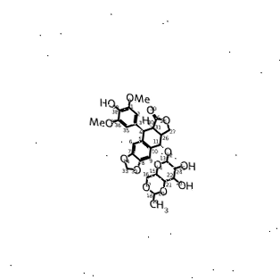 COc1cc([C@@H]2c3cc4c(cc3[C@@H](OC3OC5COC(C)OC5C(O)C3O)C3COC(=O)[C@@H]32)OCO4)cc(OC)c1O